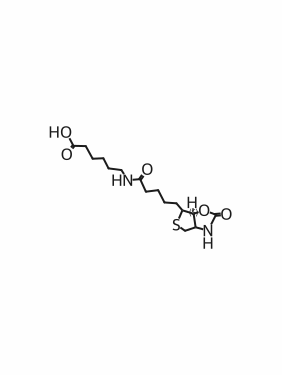 O=C(O)CCCCCNC(=O)CCCCC1SCC2NC(=O)O[C@@H]21